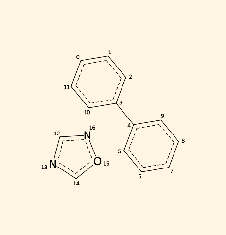 c1ccc(-c2ccccc2)cc1.c1ncon1